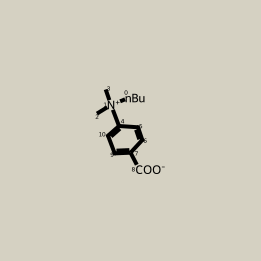 CCCC[N+](C)(C)c1ccc(C(=O)[O-])cc1